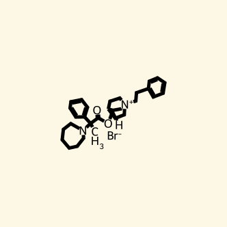 CC(C(=O)O[C@H]1C[N+]2(CCc3ccccc3)CCC1CC2)(c1ccccc1)N1CCCCCC1.[Br-]